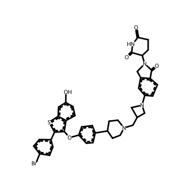 O=C1CCC(N2Cc3cc(N4CC(CN5CCC(c6ccc(Oc7c(-c8ccc(Br)cc8)sc8cc(O)ccc78)cc6)CC5)C4)ccc3C2=O)C(=O)N1